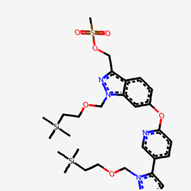 C[Si](C)(C)CCOCn1nccc1-c1ccc(Oc2ccc3c(COS(C)(=O)=O)nn(COCC[Si](C)(C)C)c3c2)nc1